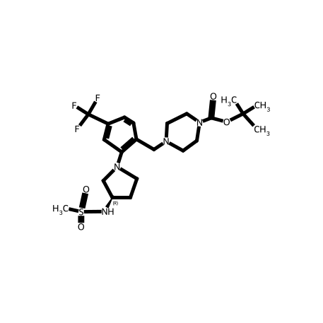 CC(C)(C)OC(=O)N1CCN(Cc2ccc(C(F)(F)F)cc2N2CC[C@@H](NS(C)(=O)=O)C2)CC1